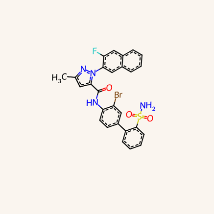 Cc1cc(C(=O)Nc2ccc(-c3ccccc3S(N)(=O)=O)cc2Br)n(-c2cc3ccccc3cc2F)n1